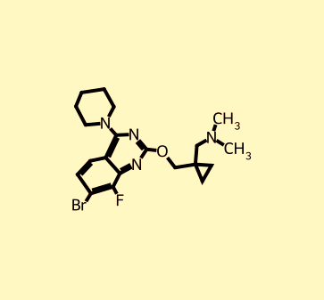 CN(C)CC1(COc2nc(N3CCCCC3)c3ccc(Br)c(F)c3n2)CC1